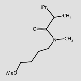 COCCCCN(C)C(=O)C(C)C(C)C